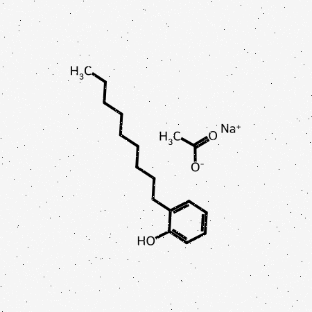 CC(=O)[O-].CCCCCCCCCc1ccccc1O.[Na+]